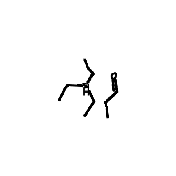 CCC=O.CC[SiH](CC)CC